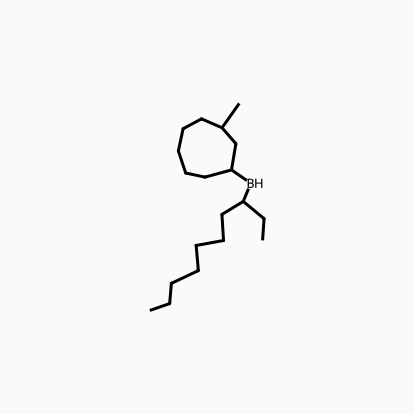 CCCCCCCC(BC1CCCCCC(C)C1)CC